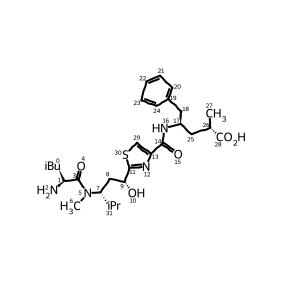 CC[C@H](C)[C@H](N)C(=O)N(C)[C@H](C[C@@H](O)c1nc(C(=O)N[C@@H](Cc2ccccc2)C[C@H](C)C(=O)O)cs1)C(C)C